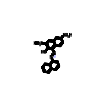 O=S(=O)(O)c1ccc2c(/N=N/c3cccc4ccccc34)c(O)c(S(=O)(=O)O)cc2c1